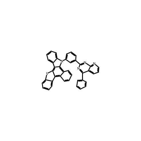 c1ccc(-c2nc(-c3cccc(-n4c5ccccc5c5c6sc7ccccc7c6c6ccccc6c54)c3)nc3ncccc23)cc1